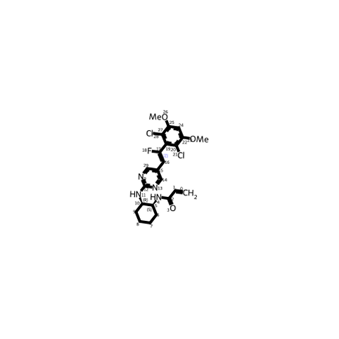 C=CC(=O)N[C@H]1CCCC[C@H]1Nc1ncc(/C=C(\F)c2c(Cl)c(OC)cc(OC)c2Cl)cn1